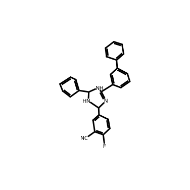 N#Cc1cc(C2N=C(c3cccc(-c4ccccc4)c3)NC(c3ccccc3)N2)ccc1F